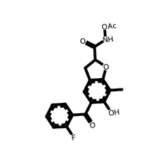 CC(=O)ONC(=O)C1Cc2cc(C(=O)c3ccccc3F)c(O)c(C)c2O1